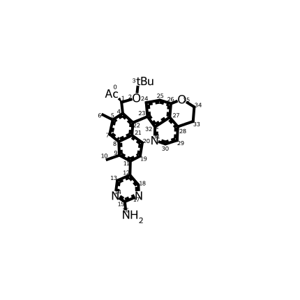 CC(=O)[C@@H](OC(C)(C)C)c1c(C)cc2c(C)c(-c3cnc(N)nc3)ccc2c1-c1ccc2c3c(ccnc13)CCO2